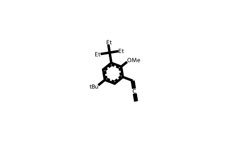 C=C=Cc1cc(C(C)(C)C)cc(C(CC)(CC)CC)c1OC